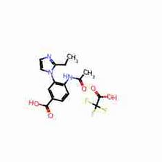 CCc1nccn1-c1cc(C(=O)O)ccc1NC(C)=O.O=C(O)C(F)(F)F